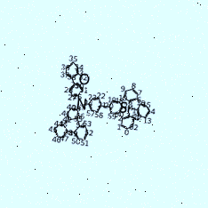 c1ccc([Si](c2ccccc2)(c2ccccc2)c2ccc(-c3ccc(N(c4ccc5c(c4)oc4ccccc45)c4ccc5c6ccccc6c6ccccc6c5c4)cc3)cc2)cc1